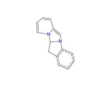 C1=CC2=CN3c4ccccc4CC3N2C=C1